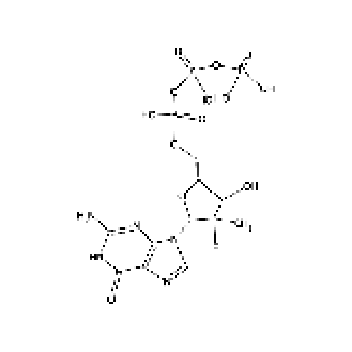 CC1(F)C(O)[C@@H](COP(=O)(O)OP(=O)(O)OP(=O)(O)O)O[C@H]1n1cnc2c(=O)[nH]c(N)nc21